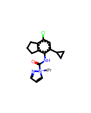 CC(C)[N+]1(C(=O)Nc2c(C3CC3)cc(Cl)c3c2CCC3)C=CC=N1